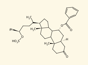 CC(CC[C@@H](OS(=O)(=O)O)C(C)C)[C@H]1CCC2C3C(CC[C@@]21C)[C@@]1(C)CCC(=O)C[C@@H]1C[C@H]3OC(=O)c1ccccc1